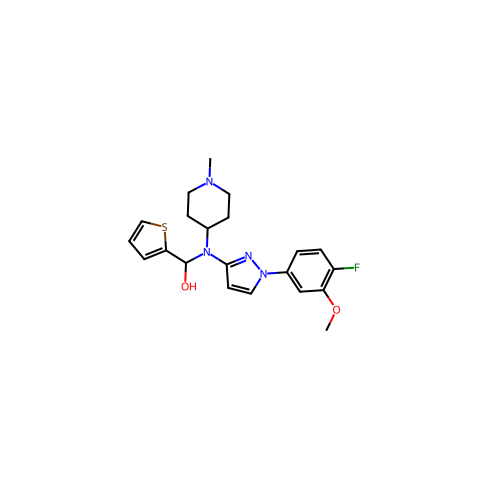 COc1cc(-n2ccc(N(C3CCN(C)CC3)C(O)c3cccs3)n2)ccc1F